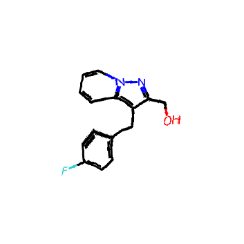 OCc1nn2ccccc2c1Cc1ccc(F)cc1